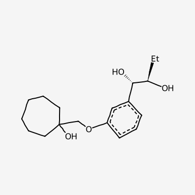 CC[C@@H](O)[C@@H](O)c1cccc(OCC2(O)CCCCCC2)c1